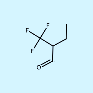 CCC([C]=O)C(F)(F)F